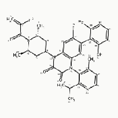 C=C(F)C(=O)N1[C@H](C)CC(n2c(=O)c(=O)n(-c3c(C)ccnc3C(C)C)c3nc(-c4c(O)cccc4F)c(F)cc32)C[C@H]1C